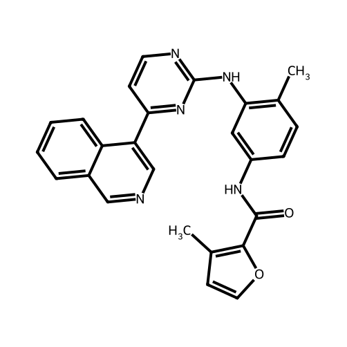 Cc1ccc(NC(=O)c2occc2C)cc1Nc1nccc(-c2cncc3ccccc23)n1